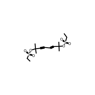 CCS(=O)(=O)OC(C)(C)C#CC#CC(C)(C)OS(=O)(=O)CC